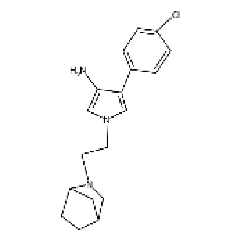 Nc1cn(CCN2CC3CCC2C3)cc1-c1ccc(Cl)cc1